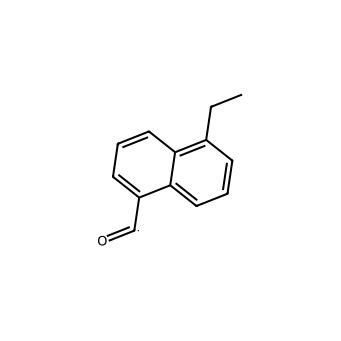 CCc1cccc2c([C]=O)cccc12